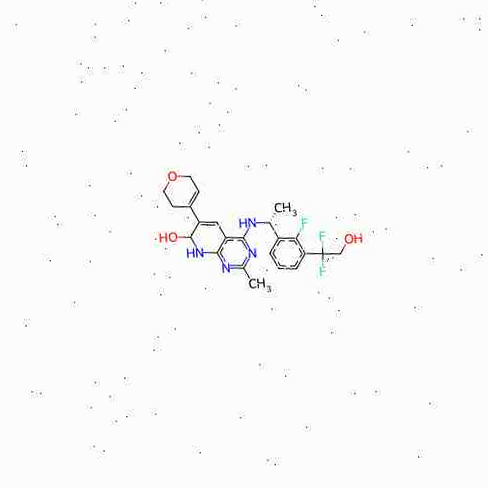 Cc1nc2c(c(N[C@H](C)c3cccc(C(F)(F)CO)c3F)n1)C=C(C1=CCOCC1)C(O)N2